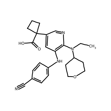 CCN(c1ncc(C2(C(=O)O)CCC2)cc1Nc1ccc(C#N)cc1)C1CCOCC1